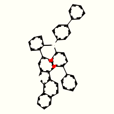 c1ccc(-c2ccc(N(c3ccc(-c4ccccc4)cc3)c3ccccc3-c3ccc4c(c3)oc3c5ccccc5ccc43)cc2)cc1